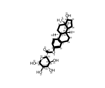 C[C@]12CC[C@@H]3c4ccc(OC(=O)[C@H]5O[C@@H](O)[C@H](O)[C@@H](O)[C@@H]5O)cc4CC[C@H]3[C@@H]1CC[C@H]2O